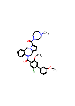 COc1cccc(-c2cc(OC)c(C(=O)N3Cc4ccc(C(=O)N5CCCN(C)CC5)n4Cc4ccccc43)cc2Cl)c1